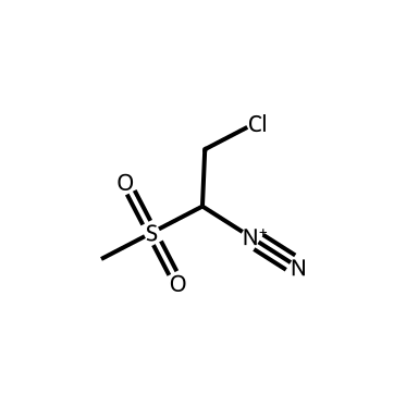 CS(=O)(=O)C(CCl)[N+]#N